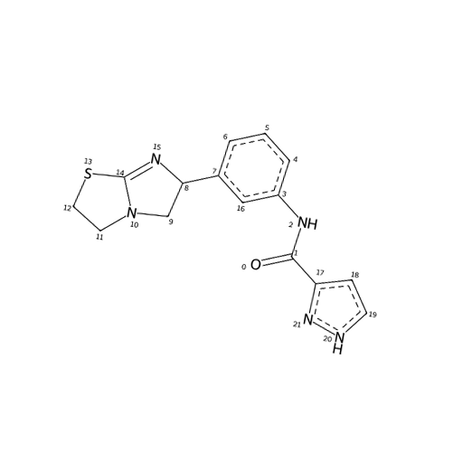 O=C(Nc1cccc(C2CN3CCSC3=N2)c1)c1cc[nH]n1